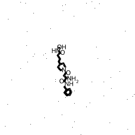 N[C@@H](CC(=O)N1CCC(CCCC(=O)NO)CC1)C(=O)NCc1ccccc1